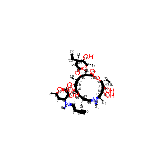 C#CCCN(C)[C@H]1C[C@@H](C)O[C@@H](O[C@@H]2[C@@H](C)[C@H](O[C@H]3C[C@@](C)(CC)[C@@H](O)[C@H](C)O3)[C@@H](C)C(=O)O[C@H](CC)[C@@](C)(O)[C@H](O)[C@@H](C)N(C)C[C@H](C)C[C@@]2(C)O)[C@@H]1O